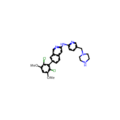 COc1cc(OC)c(Cl)c(-c2ccc3cc(Nc4ccc(CN5CCNCC5)cn4)ncc3c2)c1Cl